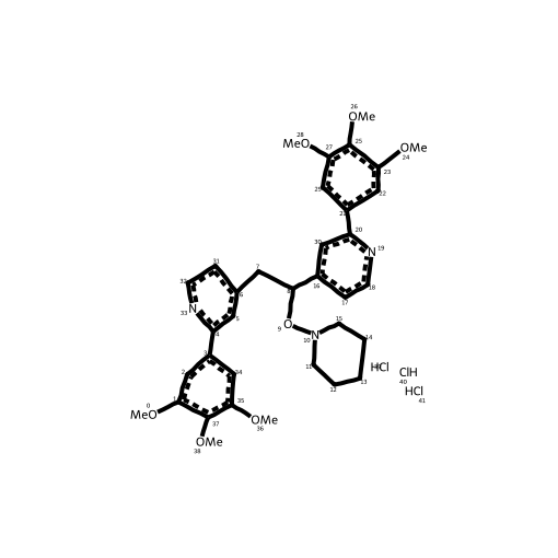 COc1cc(-c2cc(CC(ON3CCCCC3)c3ccnc(-c4cc(OC)c(OC)c(OC)c4)c3)ccn2)cc(OC)c1OC.Cl.Cl.Cl